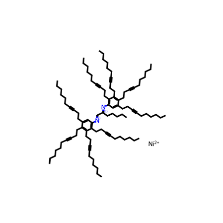 CCCCCCC#CCCc1cc(/N=C/C(CCCCC)=N/c2cc(CCC#CCCCCCC)c(CCC#CCCCCCC)c(CCC#CCCCCCC)c2CCC#CCCCCCC)c(CCC#CCCCCCC)c(CCC#CCCCCCC)c1CCC#CCCCCCC.[Ni+2]